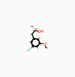 COc1cc(F)cc(C[C@H](C)O)c1